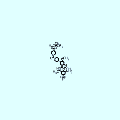 COc1cc2nc(C)nc(N[C@H](C)c3cc(N)cc(C(F)(F)F)c3)c2cc1[C@H]1CC[C@H](C(=O)N2CCN(C(=O)OC(C)(C)C)CC2)CC1